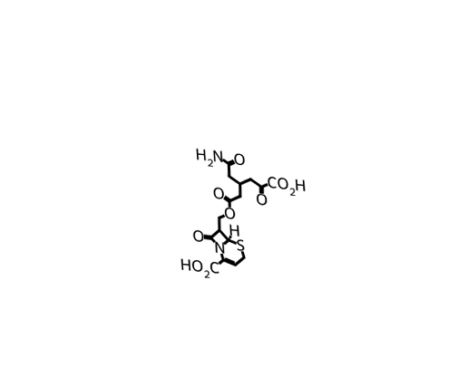 NC(=O)CC(CC(=O)OCC1C(=O)N2C(C(=O)O)=CCS[C@@H]12)CC(=O)C(=O)O